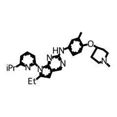 CCc1cc2cnc(Nc3ccc(OC4CCN(C)CC4)c(C)c3)nc2n1-c1cccc(C(C)C)n1